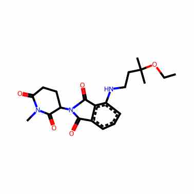 CCOC(C)(C)CCNc1cccc2c1C(=O)N(C1CCC(=O)N(C)C1=O)C2=O